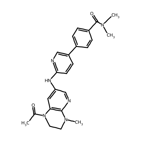 CC(=O)N1CCN(C)c2ncc(Nc3ccc(-c4ccc(C(=O)N(C)C)cc4)cn3)cc21